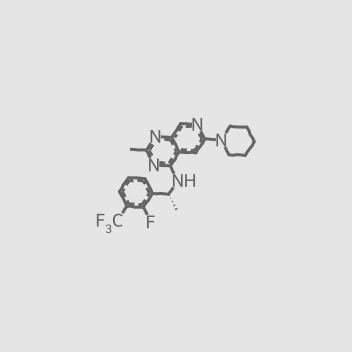 Cc1nc(N[C@H](C)c2cccc(C(F)(F)F)c2F)c2cc(N3CCCCC3)ncc2n1